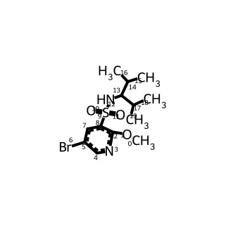 COc1ncc(Br)cc1S(=O)(=O)NC(C(C)C)C(C)C